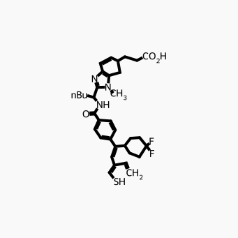 C=CC(=C\S)/C=C(/c1ccc(C(=O)NC(CCCC)c2nc3c(n2C)CC(CCC(=O)O)C=C3)cc1)C1CCC(F)(F)CC1